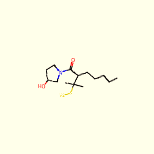 CCCCCC(C(=O)N1CCC(O)C1)C(C)(C)SS